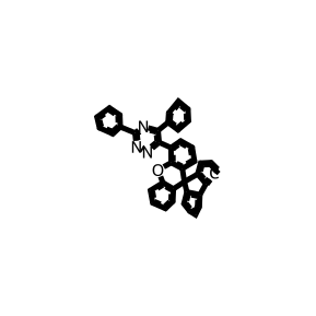 c1ccc(-c2nnc(-c3cccc4c3Oc3ccccc3C43c4ccccc4-c4ccccc43)c(-c3ccccc3)n2)cc1